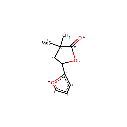 CSC1(C)CC(c2ccco2)OC1=O